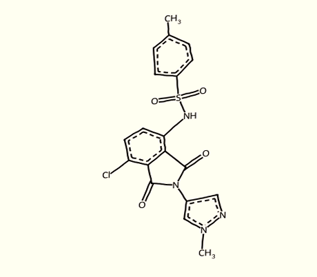 Cc1ccc(S(=O)(=O)Nc2ccc(Cl)c3c2C(=O)N(c2cnn(C)c2)C3=O)cc1